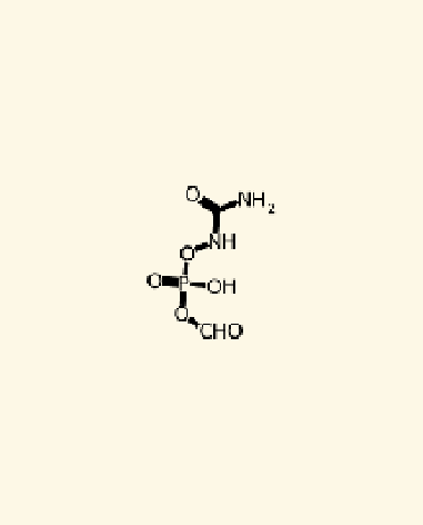 NC(=O)NOP(=O)(O)OC=O